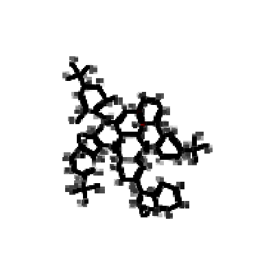 Cc1cc2c3c(c1)N(c1c(C)cc(C(C)(C)C)cc1C)c1oc4ccc(C(C)(C)C)cc4c1B3c1ccc(-c3coc4ccccc34)cc1N2c1ccc(C(C)(C)C)cc1-c1ccccc1